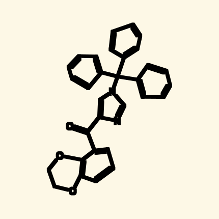 O=C(c1cn(C(c2ccccc2)(c2ccccc2)c2ccccc2)cn1)c1cccc2c1OCCO2